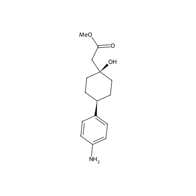 COC(=O)C[C@]1(O)CC[C@@H](c2ccc(N)cc2)CC1